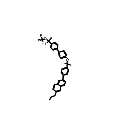 CCCc1ccc2cc(-c3ccc(C(F)(F)Oc4ccc(-c5ccc(C(F)(F)OC(F)(F)F)cc5)cc4)cc3)ccc2c1